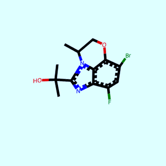 CC1COc2c(Br)cc(F)c3nc(C(C)(C)O)n1c23